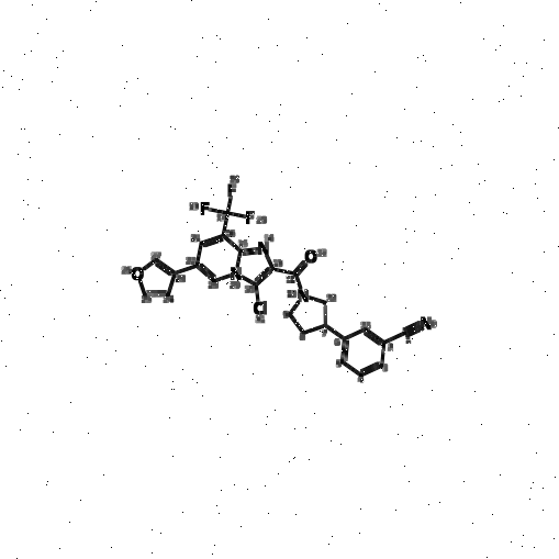 N#Cc1cccc(C2CCN(C(=O)c3nc4c(C(F)(F)F)cc(-c5ccoc5)cn4c3Cl)C2)c1